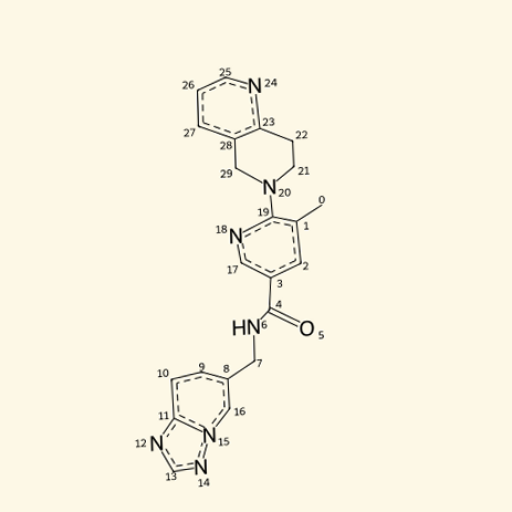 Cc1cc(C(=O)NCc2ccc3ncnn3c2)cnc1N1CCc2ncccc2C1